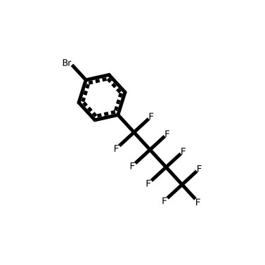 FC(F)(F)C(F)(F)C(F)(F)C(F)(F)c1ccc(Br)cc1